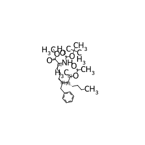 CCCC[C@H]([C@H](CCC[C@H](NC(=O)OC(C)(C)C)C(=O)OC)Cc1ccccc1)[C@H](C)OC(C)=O